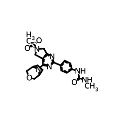 CNC(=O)Nc1ccc(-c2nc3c(c(N4C5CCC4COC5)n2)CN(S(C)(=O)=O)C3)cc1